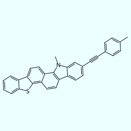 Cc1ccc(C#Cc2ccc3c4ccc5c(ccc6c7ccccc7sc65)c4n(C)c3c2)cc1